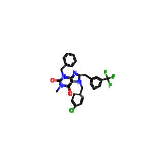 Cn1c(=O)c2c(nc(Cc3cccc(C(F)(F)F)c3)n2CC2C=CC(Cl)=CC2)n(Cc2ccccc2)c1=O